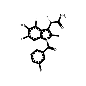 Cc1c([C@H](C)C(N)=O)c2c(F)c(O)c(F)cc2n1C(=O)c1cccc(F)c1